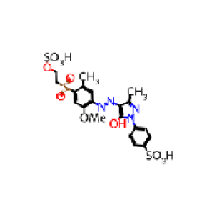 COc1cc(S(=O)(=O)CCOS(=O)(=O)O)c(C)cc1/N=N/c1c(C)nn(-c2ccc(S(=O)(=O)O)cc2)c1O